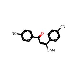 COC(=CC(=O)c1ccc(C#N)cc1)c1ccc(C#N)cc1